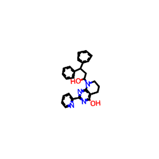 Oc1nc(-c2ccccn2)nc2c1CCCN2C(O)CC(c1ccccc1)c1ccccc1